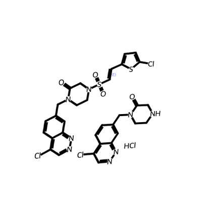 Cl.O=C1CN(S(=O)(=O)/C=C/c2ccc(Cl)s2)CCN1Cc1ccc2c(Cl)cnnc2c1.O=C1CNCCN1Cc1ccc2c(Cl)cnnc2c1